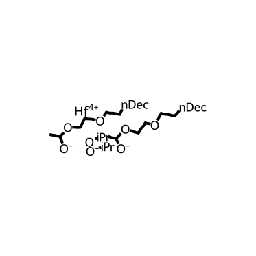 CC(C)[O-].CC(C)[O-].CCCCCCCCCCCCOCCOC(C)[O-].CCCCCCCCCCCCOCCOC(C)[O-].[Hf+4]